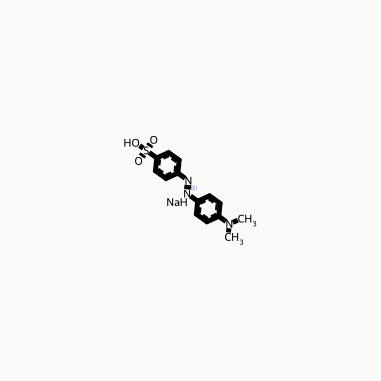 CN(C)c1ccc(/N=N/c2ccc(S(=O)(=O)O)cc2)cc1.[NaH]